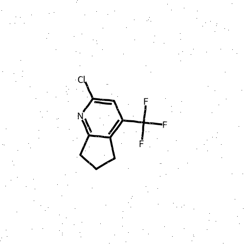 FC(F)(F)c1cc(Cl)nc2c1CCC2